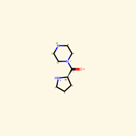 O=C([C@H]1CCCN1)N1CC[N]CC1